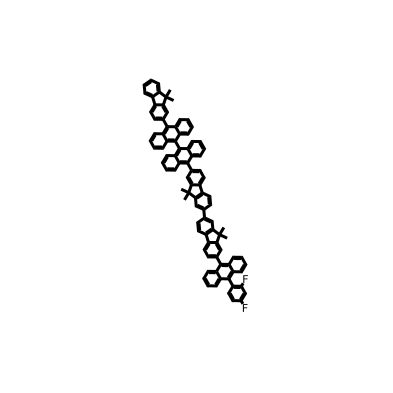 CC1(C)c2cc(-c3ccc4c(c3)C(C)(C)c3cc(-c5c6ccccc6c(-c6c7ccccc7c(-c7ccc8c(c7)C(C)(C)c7ccccc7-8)c7ccccc67)c6ccccc56)ccc3-4)ccc2-c2ccc(-c3c4ccccc4c(-c4ccc(F)cc4F)c4ccccc34)cc21